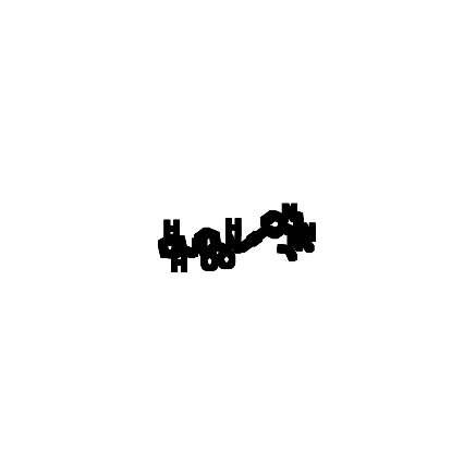 Cc1nc2cnc3ccc(C#CCNC(=O)c4cccn(CC5C[C@@H]6CC[C@H]5C6)c4=O)cc3c2n1C(C)C